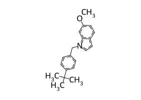 COc1ccc2ccn(Cc3ccc(C(C)(C)C)cc3)c2c1